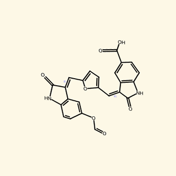 O=COc1ccc2c(c1)/C(=C\c1ccc(/C=C3/C(=O)Nc4ccc(C(=O)O)cc43)o1)C(=O)N2